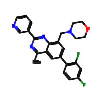 CNc1nc(-c2cccnc2)nc2c(CN3CCOCC3)cc(-c3ccc(F)cc3F)cc12